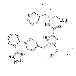 CCOc1nc(C(=O)NC(CC(=O)O)Cc2ccccc2)[nH]c1Cc1ccc(-c2ccccc2-c2nnn[nH]2)cc1